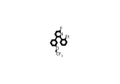 CCc1ccccc1-c1nc(F)ccc1-c1cccc(OCC(F)(F)F)c1